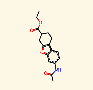 CCOC(=O)C1CCc2c(oc3cc(NC(C)=O)ccc23)C1